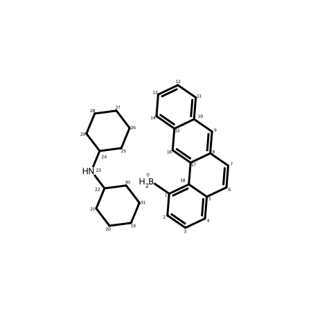 Bc1cccc2ccc3cc4ccccc4cc3c12.C1CCC(NC2CCCCC2)CC1